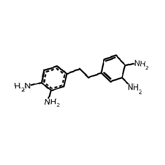 Nc1ccc(CCC2=CC(N)C(N)C=C2)cc1N